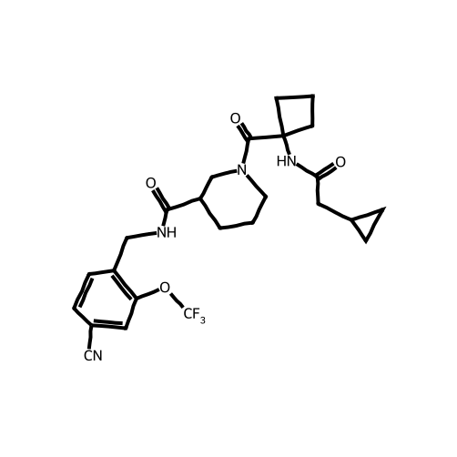 N#Cc1ccc(CNC(=O)C2CCCN(C(=O)C3(NC(=O)CC4CC4)CCC3)C2)c(OC(F)(F)F)c1